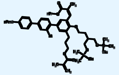 C=C(C)C(=O)OCCCc1cc(-c2ccc(-c3ccc(CCCCC)cc3)cc2CC)cc(C=C(C)C(=O)OCCC)c1OCCC(CO[Si](C)(C)C(C)(C)C)CO[Si](C)(C)C(C)(C)C